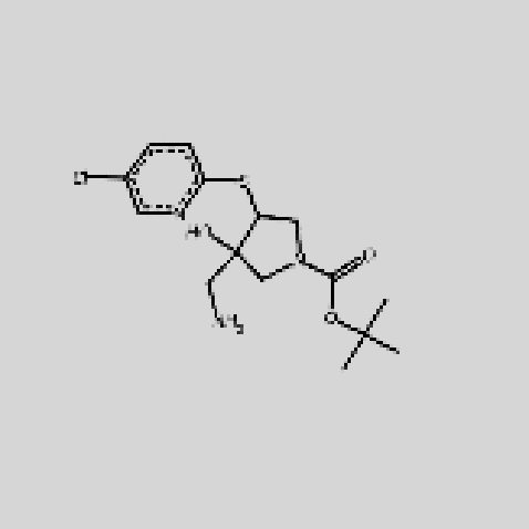 CC(C)(C)OC(=O)N1CC(Sc2ccc(Cl)cn2)C(O)(CN)C1